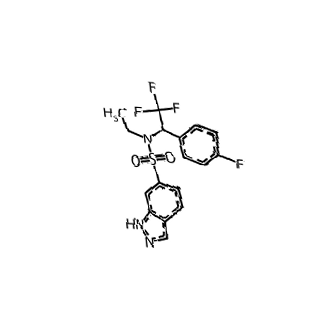 CCN([C@H](c1ccc(F)cc1)C(F)(F)F)S(=O)(=O)c1ccc2cn[nH]c2c1